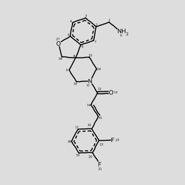 NCc1ccc2c(c1)C1(CCN(C(=O)C=Cc3cccc(F)c3F)CC1)CO2